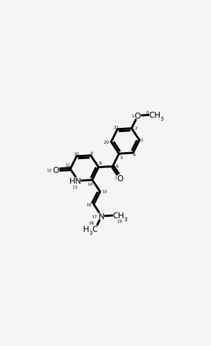 COc1ccc(C(=O)c2ccc(=O)[nH]c2C=CN(C)C)cc1